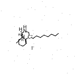 CCCCCCCC[C+]1CN[C@@H]2CCN(C)[C@@]23CCCC=C13.[I-]